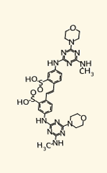 CNc1nc(Nc2ccc(C=Cc3ccc(Nc4nc(NC)nc(N5CCOCC5)n4)cc3S(=O)O)c(S(=O)O)c2)nc(N2CCOCC2)n1